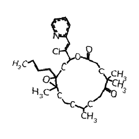 CCCCC12CC(C(Cl)=Cc3ccccn3)OC(=O)CCC(C)(C)C(=O)CCC(C)CCCC1(C)O2